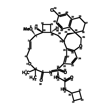 CO[C@H]1/C=C/COC(C)(C)C(=O)N=[S@](=O)(NC(=O)NC2CCC2)c2ccc3c(c2)N(C[C@@H]2CC[C@H]21)C[C@@]1(CCCc2cc(Cl)ccc21)CO3